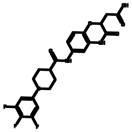 O=C(O)CC1Oc2ccc(NC(=O)C3CCN(c4cc(F)c(F)c(F)c4)CC3)cc2NC1=O